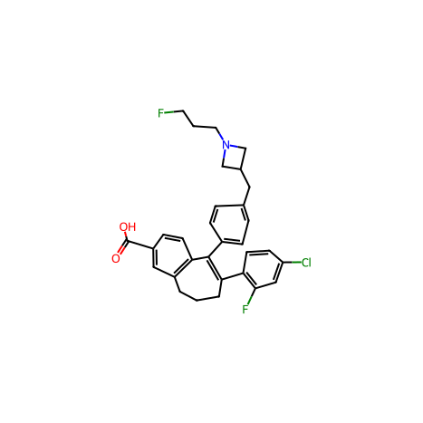 O=C(O)c1ccc2c(c1)CCCC(c1ccc(Cl)cc1F)=C2c1ccc(CC2CN(CCCF)C2)cc1